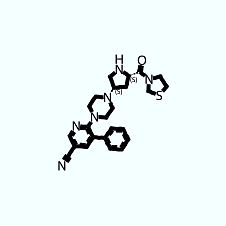 N#Cc1cnc(N2CCN([C@@H]3CN[C@H](C(=O)N4CCSC4)C3)CC2)c(-c2ccccc2)c1